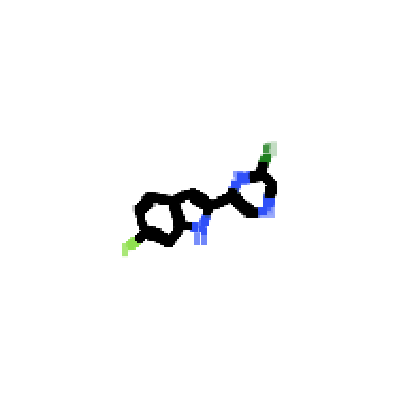 Fc1ccc2cc(-c3cncc(Cl)n3)[nH]c2c1